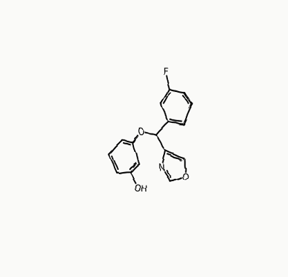 Oc1cccc(OC(c2cccc(F)c2)c2cocn2)c1